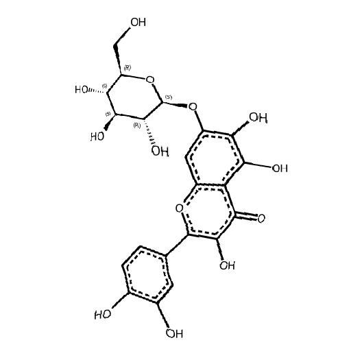 O=c1c(O)c(-c2ccc(O)c(O)c2)oc2cc(O[C@@H]3O[C@H](CO)[C@@H](O)[C@H](O)[C@H]3O)c(O)c(O)c12